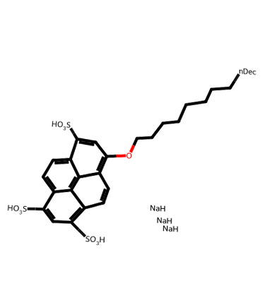 CCCCCCCCCCCCCCCCCCOc1cc(S(=O)(=O)O)c2ccc3c(S(=O)(=O)O)cc(S(=O)(=O)O)c4ccc1c2c43.[NaH].[NaH].[NaH]